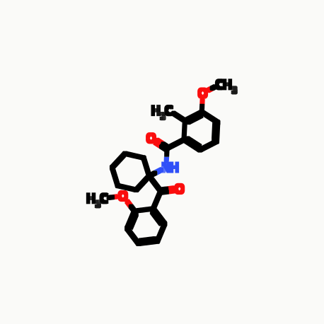 COc1ccccc1C(=O)C1(NC(=O)c2cccc(OC)c2C)CCCCC1